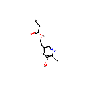 CCC(=O)OCc1cnc(C)c(O)c1